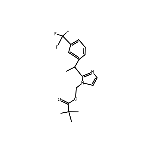 CC(c1cccc(C(F)(F)F)c1)c1nccn1COC(=O)C(C)(C)C